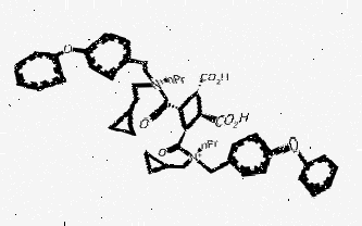 CCC[N@@+](Cc1ccc(Oc2ccccc2)cc1)(CC1CC1)C(=O)[C@@H]1[C@H](C(=O)O)[C@@H](C(=O)O)[C@H]1C(=O)[N@+](CCC)(Cc1ccc(Oc2ccccc2)cc1)CC1CC1